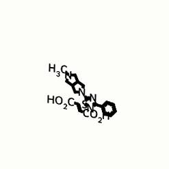 CN1CC2CN(c3nc(-c4ccccc4)ns3)CC2C1.O=C(O)/C=C/C(=O)O